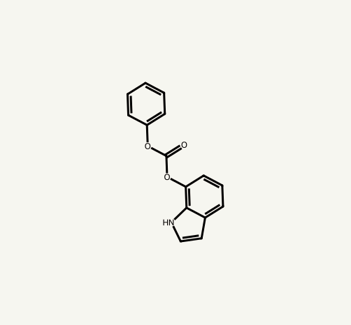 O=C(Oc1ccccc1)Oc1cccc2cc[nH]c12